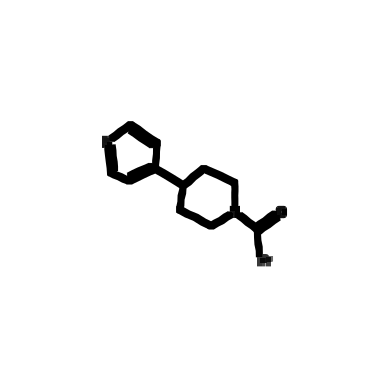 CC(C)C(=O)N1CCC(c2ccncc2)CC1